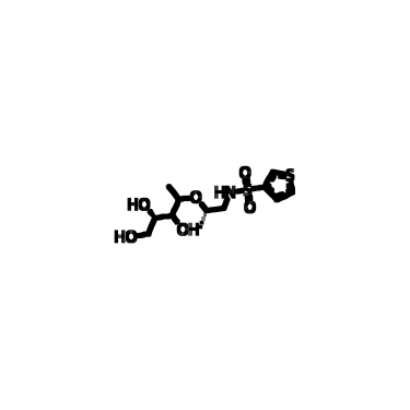 CC(O[C@@H](C)CNS(=O)(=O)c1ccsc1)C(O)[C@H](O)CO